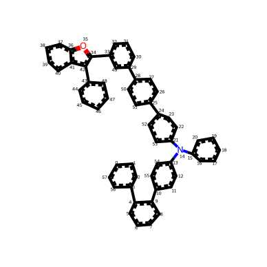 c1ccc(-c2ccccc2-c2ccc(N(c3ccccc3)c3ccc(-c4ccc(-c5cccc(-c6oc7ccccc7c6-c6ccccc6)c5)cc4)cc3)cc2)cc1